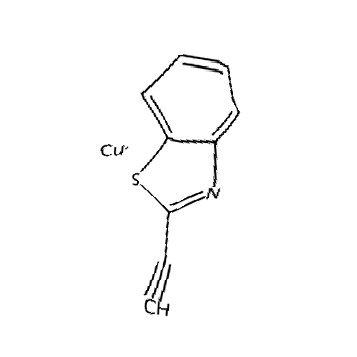 C#Cc1nc2ccccc2s1.[Cu]